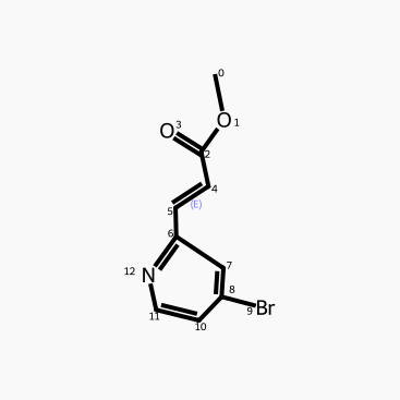 COC(=O)/C=C/c1cc(Br)ccn1